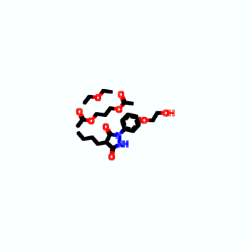 CC(=O)OCCCOC(C)=O.CCCCC1C(=O)NN(c2ccccc2)C1=O.CCOCC.OCCO